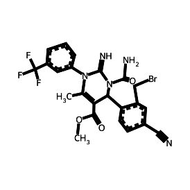 COC(=O)C1=C(C)N(c2cccc(C(F)(F)F)c2)C(=N)N(C(N)=O)C1c1ccc(C#N)cc1CBr